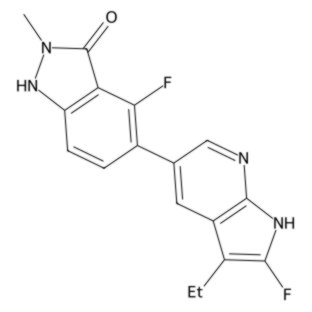 CCc1c(F)[nH]c2ncc(-c3ccc4[nH]n(C)c(=O)c4c3F)cc12